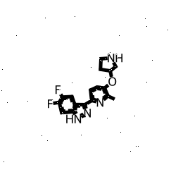 Cc1nc(-c2n[nH]c3cc(F)c(F)cc23)ccc1OC1CCNC1